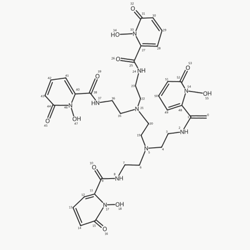 C=C(NCCN(CCNC(=O)c1cccc(=O)n1O)CCN(CCNC(=O)c1cccc(=O)n1O)CCNC(=O)c1cccc(=O)n1O)c1cccc(=O)n1O